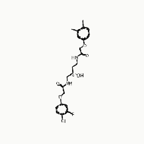 Cc1ccc(OCC(=O)NCC[C@H](O)CNC(=O)COc2ccc(Cl)c(F)c2)cc1C